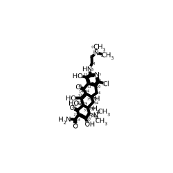 CN(C)CCNc1nc(Cl)c2c(c1O)C(=O)C1=C(O)[C@]3(O)C(=O)C(C(N)=O)=C(O)[C@@H](N(C)C)[C@@H]3C[C@@H]1C2